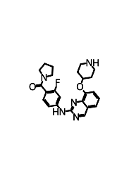 O=C(c1ccc(Nc2ncc3cccc(OC4CCNCC4)c3n2)cc1F)N1CCCC1